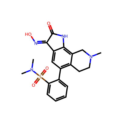 CN1CCc2c(-c3ccccc3S(=O)(=O)N(C)C)cc3c(c2C1)NC(=O)/C3=N\O